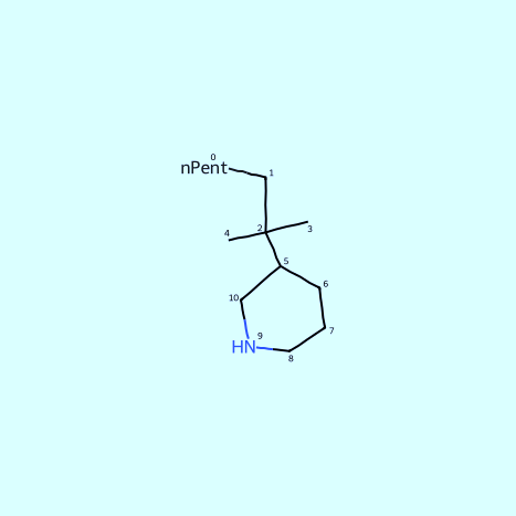 CCCCCCC(C)(C)C1CCCNC1